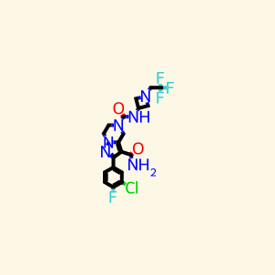 NC(=O)c1c(-c2ccc(F)c(Cl)c2)nn2c1CN(C(=O)NC1CN(CC(F)(F)F)C1)CC2